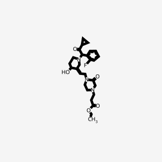 CCOC(=O)CCN1CCN(CC=C2CN(C(C(=O)C3CC3)c3ccccc3F)CCC2O)C(=O)C1